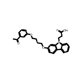 CC(=O)c1cccc(OCCCCOc2ccc3c4ccccc4n(CCC(=O)O)c3c2)c1